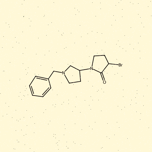 O=C1C(Br)CCN1C1CCN(Cc2ccccc2)C1